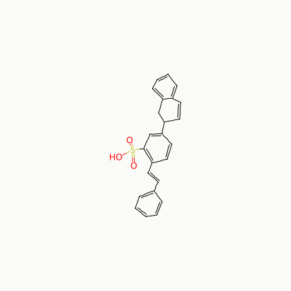 O=S(=O)(O)c1cc(C2C=Cc3ccccc3C2)ccc1C=Cc1ccccc1